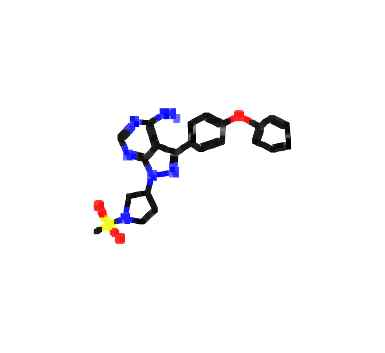 CS(=O)(=O)N1CCC(n2nc(-c3ccc(Oc4ccccc4)cc3)c3c(N)ncnc32)C1